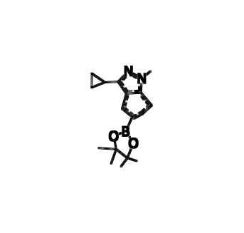 Cn1nc(C2CC2)c2cc(B3OC(C)(C)C(C)(C)O3)ccc21